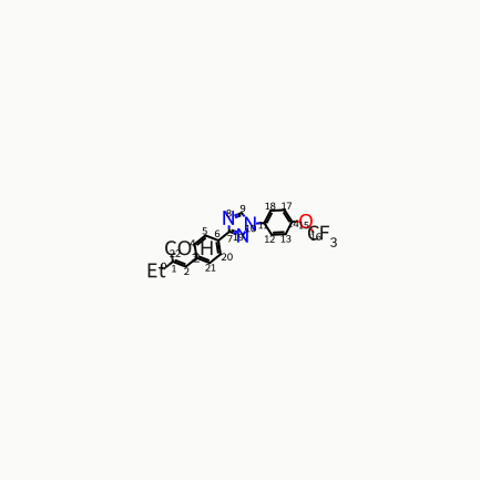 CCC(=Cc1ccc(-c2ncn(-c3ccc(OC(F)(F)F)cc3)n2)cc1)C(=O)O